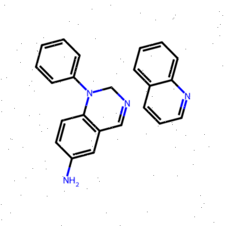 Nc1ccc2c(c1)C=NCN2c1ccccc1.c1ccc2ncccc2c1